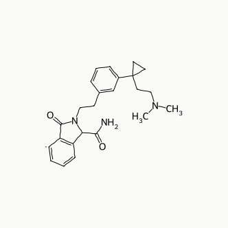 CN(C)CCC1(c2cccc(CCN3C(=O)c4[c]cccc4C3C(N)=O)c2)CC1